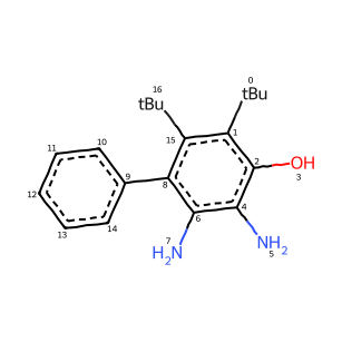 CC(C)(C)c1c(O)c(N)c(N)c(-c2ccccc2)c1C(C)(C)C